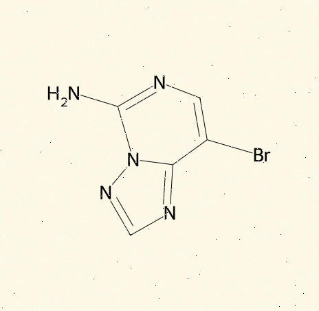 Nc1ncc(Br)c2ncnn12